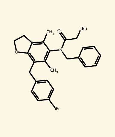 Cc1c2c(c(Cc3ccc(C(C)C)cc3)c(C)c1N(Cc1ccccc1)C(=O)CC(C)(C)C)OCC2